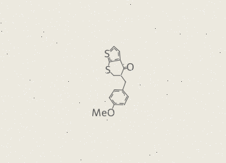 COc1ccc(CC2CSc3sccc3C2=O)cc1